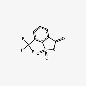 O=C1SS(=O)(=O)c2c1cccc2C(F)(F)F